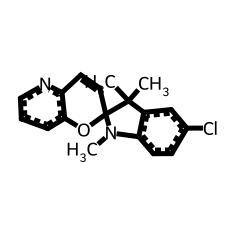 CN1c2ccc(Cl)cc2C(C)(C)C12C=Cc1ncccc1O2